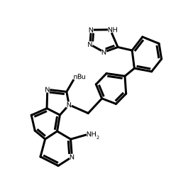 CCCCc1nc2ccc3ccnc(N)c3c2n1Cc1ccc(-c2ccccc2-c2nnn[nH]2)cc1